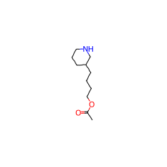 CC(=O)OCCCCC1CCCNC1